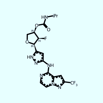 CC(C)NC(=O)O[C@@H]1CO[C@H](c2cc(Nc3nccn4nc(C(F)(F)F)cc34)n[nH]2)[C@@H]1F